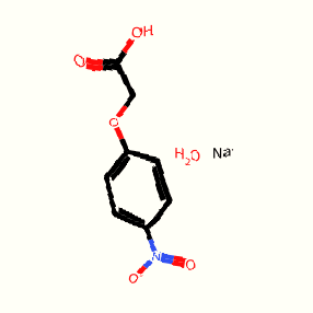 O.O=C(O)COc1ccc([N+](=O)[O-])cc1.[Na]